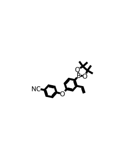 C=Cc1cc(Oc2ccc(C#N)cc2)ccc1B1OC(C)(C)C(C)(C)O1